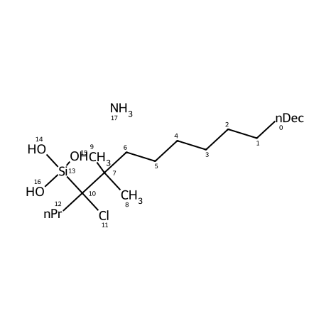 CCCCCCCCCCCCCCCCC(C)(C)C(Cl)(CCC)[Si](O)(O)O.N